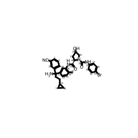 N#Cc1cccc(C(N)(CCC2CC2)c2ccc(F)c(NC(=O)[C@H]3C[C@@H](O)CN3C(=O)Nc3ccc(Br)cc3)c2)c1